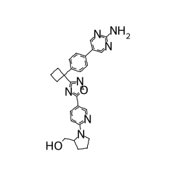 Nc1ncc(-c2ccc(C3(c4noc(-c5ccc(N6CCCC6CO)nc5)n4)CCC3)cc2)cn1